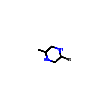 [CH2]CC1CNC(C)CN1